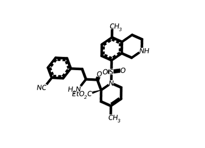 CCOC(=O)[C@]1(C(=O)C(N)Cc2cccc(C#N)c2)CC(C)=CCN1S(=O)(=O)c1ccc(C)c2c1CNCC2